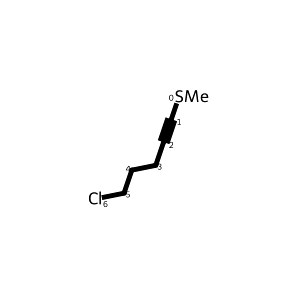 CSC#CCCCCl